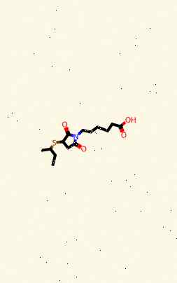 CCC(C)SC1CC(=O)N(CCCCCC(=O)O)C1=O